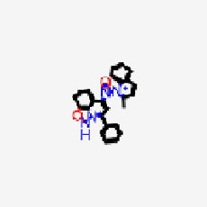 Cc1ccc2cccc3c2[n+]1N(c1cc(-c2ccccc2)[n+]2c4c(cccc14)ON2)O3